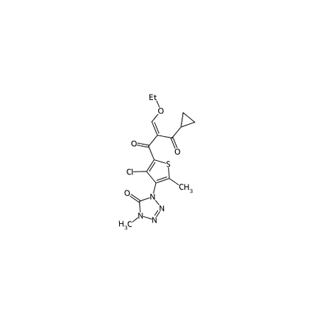 CCOC=C(C(=O)c1sc(C)c(-n2nnn(C)c2=O)c1Cl)C(=O)C1CC1